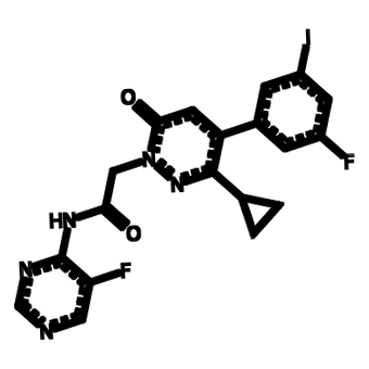 O=C(Cn1nc(C2CC2)c(-c2cc(F)cc(I)c2)cc1=O)Nc1ncncc1F